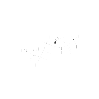 NS(=O)(=O)C(F)(F)C(F)(F)C(F)(F)S(=O)(=O)NS(=O)(=O)C(F)(F)F